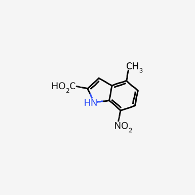 Cc1ccc([N+](=O)[O-])c2[nH]c(C(=O)O)cc12